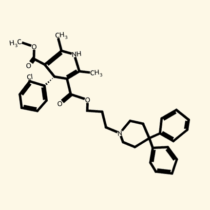 COC(=O)C1=C(C)NC(C)=C(C(=O)OCCCN2CCC(c3ccccc3)(c3ccccc3)CC2)[C@@H]1c1ccccc1Cl